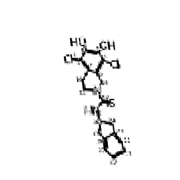 Oc1c(O)c(Cl)c2c(c1Cl)CCN(C(=S)NC1Cc3ccccc3C1)C2